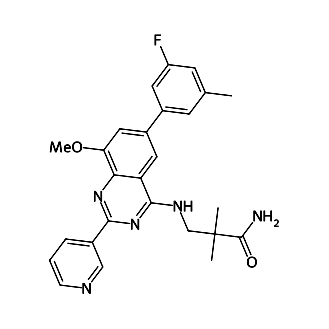 COc1cc(-c2cc(C)cc(F)c2)cc2c(NCC(C)(C)C(N)=O)nc(-c3cccnc3)nc12